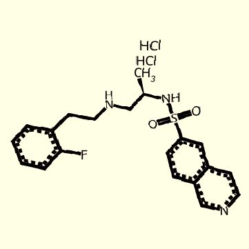 C[C@H](CNCCc1ccccc1F)NS(=O)(=O)c1ccc2cnccc2c1.Cl.Cl